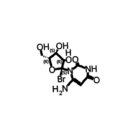 Nc1cc(=O)[nH]c(=O)n1[C@]1(Br)O[C@H](CO)[C@@H](O)[C@H]1O